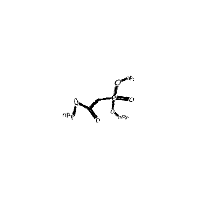 CCCOC(=O)CP(=O)(OCCC)OCCC